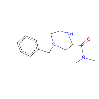 CN(C)C(=O)C1CN(Cc2ccccc2)CCN1